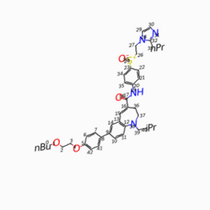 CCCCOCCOc1ccc(-c2ccc3c(c2)C=C(C(=O)Nc2ccc([S+]([O-])CCn4ccnc4CCC)cc2)CCN3CC(C)C)cc1